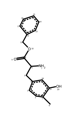 Cc1ccc(CC(N)C(=O)OCc2ccccc2)cc1O